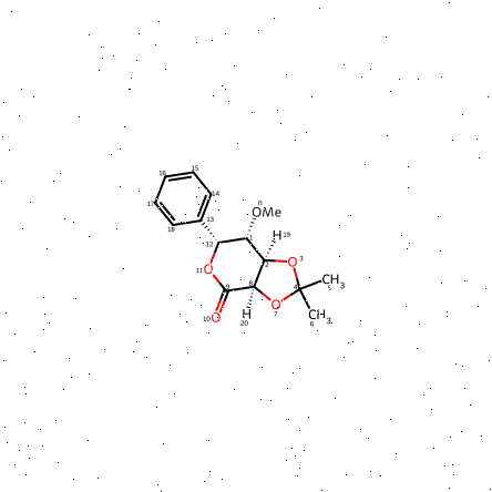 CO[C@@H]1[C@H]2OC(C)(C)O[C@H]2C(=O)O[C@@H]1c1ccccc1